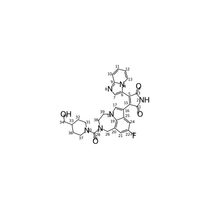 O=C1NC(=O)C(c2cnc3ccccn23)=C1c1cn2c3c(cc(F)cc13)CN(C(=O)N1CCC(CO)CC1)CC2